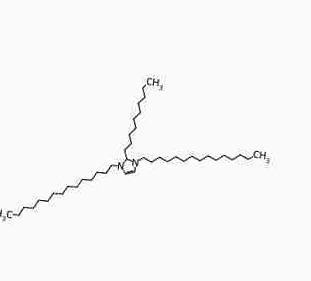 CCCCCCCCCCCCCCCN1C=CN(CCCCCCCCCCCCCCC)C1CCCCCCCCCC